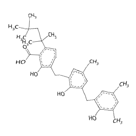 Cc1cc(C)c(O)c(Cc2cc(C)cc(Cc3ccc(C(C)(C)CC(C)(C)C)c(C(=O)O)c3O)c2O)c1